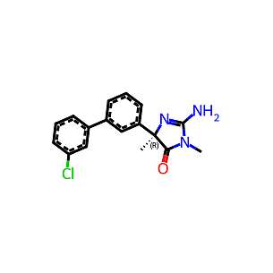 CN1C(=O)[C@@](C)(c2cccc(-c3cccc(Cl)c3)c2)N=C1N